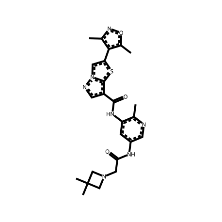 Cc1ncc(NC(=O)CN2CC(C)(C)C2)cc1NC(=O)c1cnn2cc(-c3c(C)noc3C)sc12